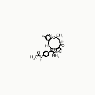 CC(=O)Nc1ccc(-c2c3nc4c(cnn4c2N)C(=O)NCC(C)Oc2ncc(F)cc2CN3)cc1